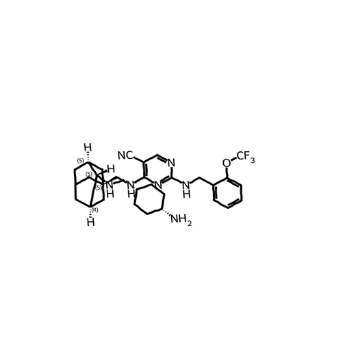 N#Cc1cnc(NCc2ccccc2OC(F)(F)F)nc1NC[C@]12CC3C[C@H](C1)[C@@H](NC[C@H]1CC[C@@H](N)CC1)[C@@H](C3)C2